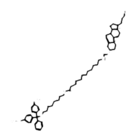 COc1ccc(C(OCCC(O)CCCCCNC(=O)CCCCCCCCCCCNC(=O)O[C@@H]2CC[C@]3(C)C(=CCC4C5CCC(CCCC(C)C)[C@]5(C)CCC43)C2)(c2ccccc2)c2ccc(OC)cc2)cc1